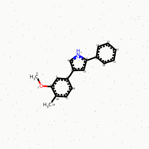 COc1cc(-c2c[nH]c(-c3ccccc3)c2)ccc1C